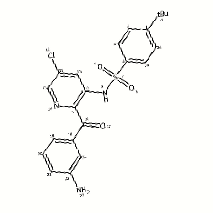 CC(C)(C)c1ccc(S(=O)(=O)Nc2cc(Cl)cnc2C(=O)c2cccc(N)c2)cc1